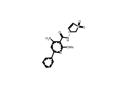 COc1nc(-c2ccccc2)cc(N)c1C(=O)N[C@@H]1C=CS(=O)(=O)C1